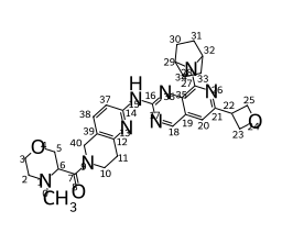 CN1CCOCC1C(=O)N1CCc2nc(Nc3ncc4cc(C5COC5)nc(N5C6CCC5CC6)c4n3)ccc2C1